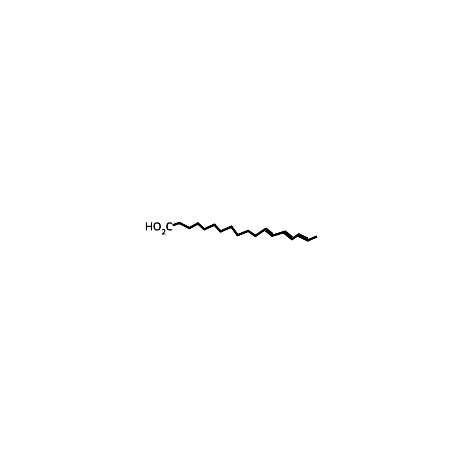 CC=CC=CC=CCCCCCCCCCCC(=O)O